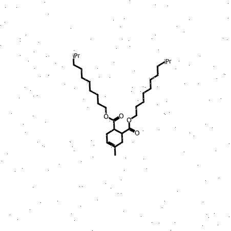 CC1=CCC(C(=O)OCCCCCCCCC(C)C)C(C(=O)OCCCCCCCCC(C)C)C1